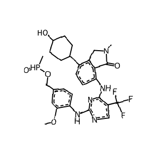 COc1cc(CO[PH](C)=O)ccc1Nc1ncc(C(F)(F)F)c(Nc2ccc(C3CCC(O)CC3)c3c2C(=O)N(C)C3)n1